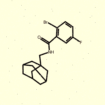 O=C(NCC12CC3CC(CC(C3)C1)C2)c1cc(F)ccc1Br